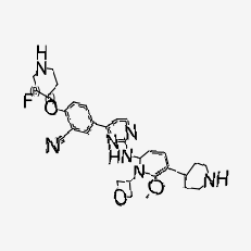 COC1=C(C2CCNCC2)C=CC(Nc2nccc(-c3ccc(O[C@H]4CCNC[C@H]4F)c(C#N)c3)n2)N1C1COC1